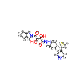 O=C(NCc1ccc(-c2sccc2-c2ccncc2)cc1)[C@H](O)[C@@H](O)C(=O)N1Cc2ccccc2C1